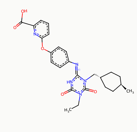 CCn1c(=O)[nH]/c(=N\c2ccc(Oc3cccc(C(=O)O)n3)cc2)n(C[C@H]2CC[C@H](C)CC2)c1=O